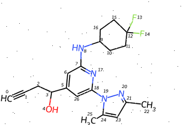 C#CCC(O)c1cc(NC2CCC(F)(F)CC2)nc(-n2nc(C)cc2C)c1